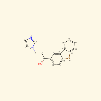 OC(CCn1ccnc1)c1ccc2sc3ccccc3c2c1